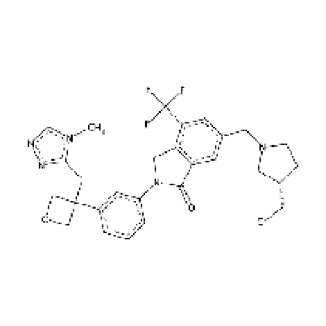 Cn1cnnc1CC1(c2cccc(N3Cc4c(cc(CN5CC[C@H](CCl)C5)cc4C(F)(F)F)C3=O)c2)COC1